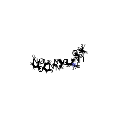 CN1CCC(OC2CCN(c3ncc(OC/C(=C/F)CNC(=O)OC(C)(C)C)cn3)CC2)C1=O